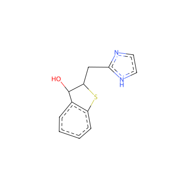 OC1c2ccccc2SC1Cc1ncc[nH]1